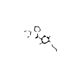 CCSC(SCC)[C@@H]1CCCN1C(=O)c1cc(C)c(OCCBr)cc1N